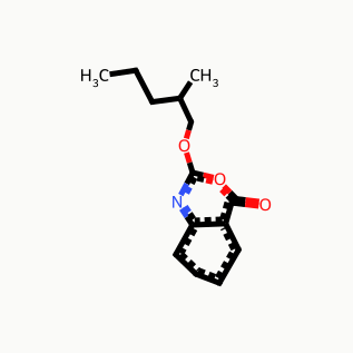 CCCC(C)COc1nc2ccccc2c(=O)o1